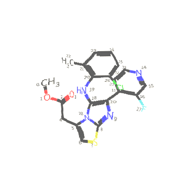 COC(=O)Cc1csc2nc(-c3ccncc3F)c(Nc3c(C)cccc3Cl)n12